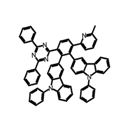 Cc1cccc(-c2ccc(-c3nc(-c4ccccc4)nc(-c4ccccc4)n3)c(-c3ccc4c(c3)c3ccccc3n4-c3ccccc3)c2-c2ccc3c(c2)c2ccccc2n3-c2ccccc2)n1